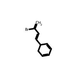 C=C(Br)C=CC1C=CC=CC1